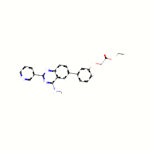 CCOC(=O)COc1cccc(-c2ccc3nc(-c4cccnc4)nc(N(C)C)c3c2)c1